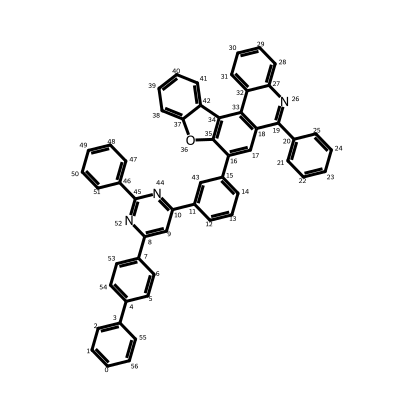 c1ccc(-c2ccc(-c3cc(-c4cccc(-c5cc6c(-c7ccccc7)nc7ccccc7c6c6c5oc5ccccc56)c4)nc(-c4ccccc4)n3)cc2)cc1